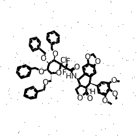 COc1cc([C@@H]2c3cc4c(cc3[C@@H](NC(=O)C(F)(F)C3(Cl)O[C@H](COCc5ccccc5)[C@@H](OCc5ccccc5)[C@H](OCc5ccccc5)[C@H]3OCc3ccccc3)C3COC(=O)[C@@H]32)OCO4)cc(OC)c1OC